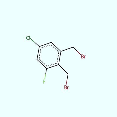 Fc1cc(Cl)cc(CBr)c1CBr